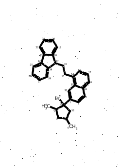 CC1CC(C)C(Br)(c2ccc3cccc(CCC4c5ccccc5-c5ccccc54)c3c2)C1